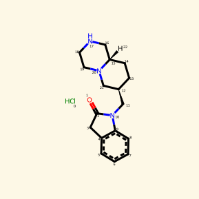 Cl.O=C1Cc2ccccc2N1C[C@@H]1CC[C@H]2CNCCN2C1